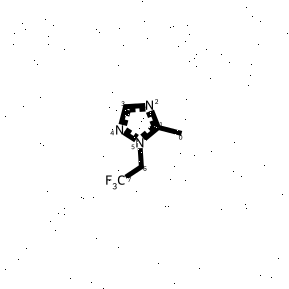 Cc1ncnn1CC(F)(F)F